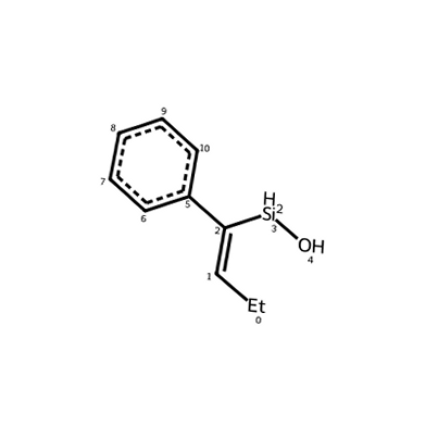 CCC=C([SiH2]O)c1ccccc1